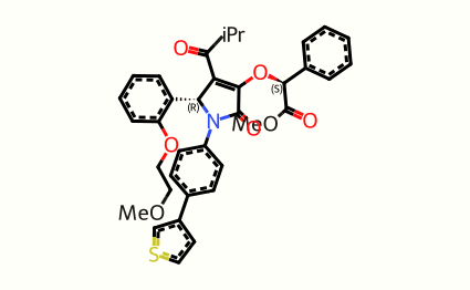 COCCOc1ccccc1[C@@H]1C(C(=O)C(C)C)=C(O[C@H](C(=O)OC)c2ccccc2)C(=O)N1c1ccc(-c2ccsc2)cc1